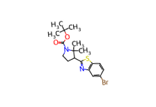 CC(C)(C)OC(=O)N1CCC(c2nc3cc(Br)ccc3s2)C1(C)C